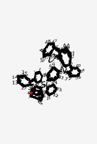 C1=Cc2c(n(-c3ccccc3)c3ccccc23)C([Si](c2ccccc2)(c2ccccc2)c2ccc(-n3c4ccccc4c4ccc5c6ccccc6oc5c43)cc2)C1